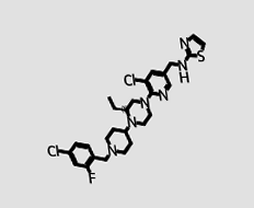 CC[C@H]1CN(c2ncc(CNc3nccs3)cc2Cl)CCN1C1CCN(Cc2ccc(Cl)cc2F)CC1